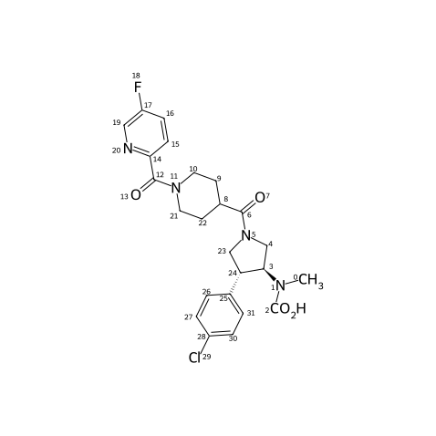 CN(C(=O)O)[C@@H]1CN(C(=O)C2CCN(C(=O)c3ccc(F)cn3)CC2)C[C@H]1c1ccc(Cl)cc1